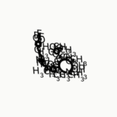 CC[C@H]1OC(=O)[C@H](C)[C@@H](OC[C@H]2C[C@@](C)(OC)[C@@H](O)[C@H](C)O2)[C@H](C)[C@@H](O[C@@H]2O[C@H](C)C[C@H](N(C)CCc3cn(CCCOc4ccc(S(=O)(=O)C(F)(F)F)cc4)nn3)[C@H]2O)[C@](C)(O)C[C@@H](C)CN(C)[C@H](C)[C@@H](O)[C@@H]1O